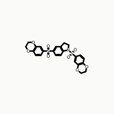 O=S(=O)(c1ccc2c(c1)CCN2S(=O)(=O)c1ccc2c(c1)OCCO2)c1ccc2c(c1)OCCO2